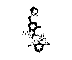 COc1cccc(OC)c1S(=O)(=O)Nc1n[nH]c2cc(Cn3cccn3)cc(C)c12